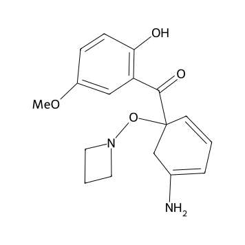 COc1ccc(O)c(C(=O)C2(ON3CCC3)C=CC=C(N)C2)c1